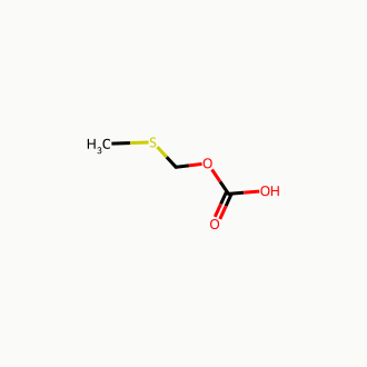 CSCOC(=O)O